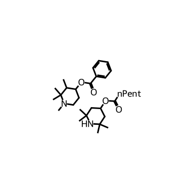 CC1C(OC(=O)c2ccccc2)CCN(C)C1(C)C.CCCCCC(=O)OC1CC(C)(C)NC(C)(C)C1